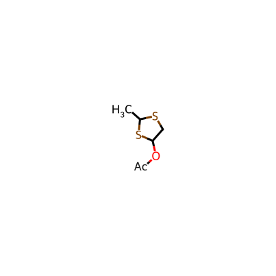 CC(=O)OC1CSC(C)S1